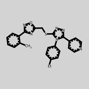 CCc1ccc(-n2c(SCc3nc(-c4ccccc4C)no3)nnc2-c2ccncc2)cc1